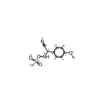 COc1ccc(C(C#N)NOS(C)(=O)=O)cc1